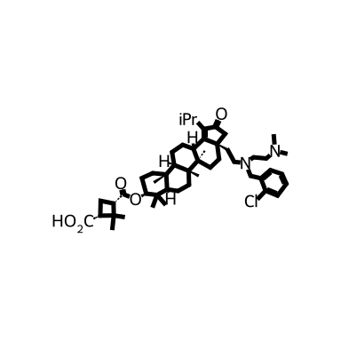 CC(C)C1=C2[C@H]3CC[C@@H]4[C@@]5(C)CC[C@H](OC(=O)[C@H]6C[C@@H](C(=O)O)C6(C)C)C(C)(C)[C@@H]5CC[C@@]4(C)[C@]3(C)CC[C@@]2(CCN(CCN(C)C)Cc2ccccc2Cl)CC1=O